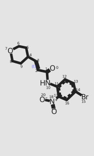 O=C(/C=C/C1CCOCC1)Nc1ccc(Br)cc1[N+](=O)[O-]